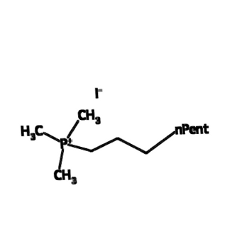 CCCCCCCC[P+](C)(C)C.[I-]